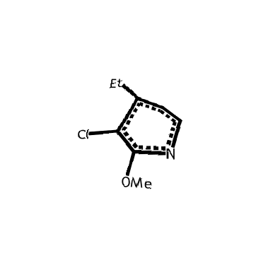 CCc1ccnc(OC)c1Cl